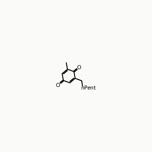 CCCCCCC1=CC(=O)C=C(C)C1=O